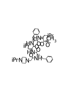 CC(C)C[C@H](NC(=O)[C@H](CCc1ccccc1)NC(=O)CN1CCN(C(C)C)CC1)C(=O)N[C@@H](Cc1ccccc1)C(=O)N[C@@H](CC(C)C)C(=O)[C@@]1(C)CO1